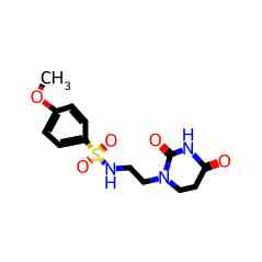 COc1ccc(S(=O)(=O)NCCN2CCC(=O)NC2=O)cc1